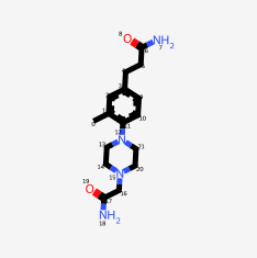 Cc1cc(CCC(N)=O)ccc1N1CCN(CC(N)=O)CC1